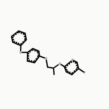 CC(COc1ccc(Oc2ccccc2)cc1)Oc1ccc(F)cn1